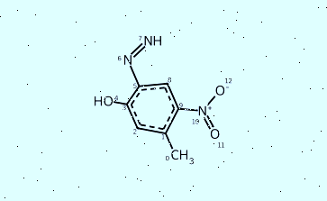 Cc1cc(O)c(N=N)cc1[N+](=O)[O-]